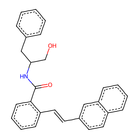 O=C(NC(CO)Cc1ccccc1)c1ccccc1C=Cc1ccc2ccccc2c1